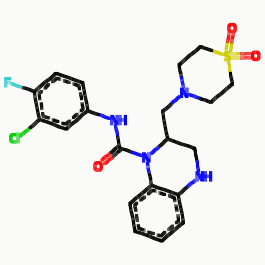 O=C(Nc1ccc(F)c(Cl)c1)N1c2ccccc2NCC1CN1CCS(=O)(=O)CC1